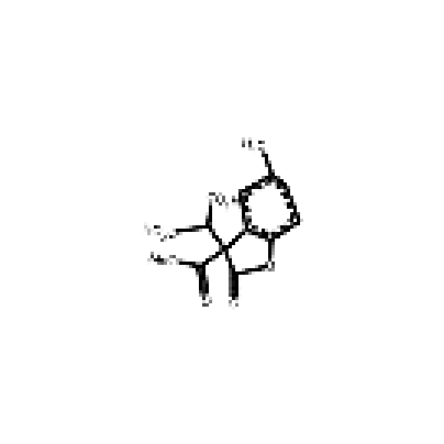 COC(=O)C1(C(C(=O)O)C(=O)O)C(=O)Oc2ccc(C)cc21